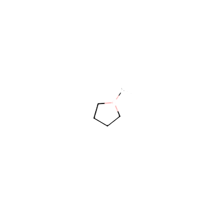 O=[N+]([O-])B1CCCC1